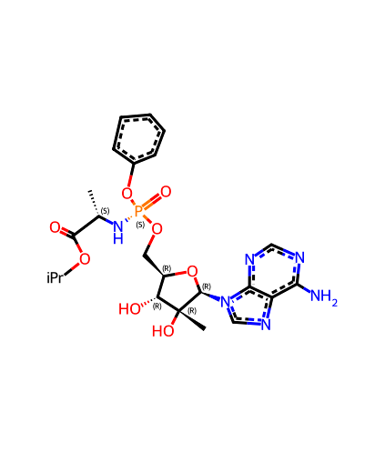 CC(C)OC(=O)[C@H](C)N[P@](=O)(OC[C@H]1O[C@@H](n2cnc3c(N)ncnc32)[C@](C)(O)[C@@H]1O)Oc1ccccc1